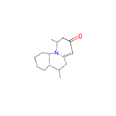 CC1CC2=CC(=O)CC(C)N2C2CCCCC12